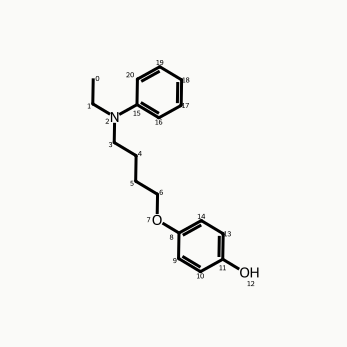 CCN(CCCCOc1ccc(O)cc1)c1ccccc1